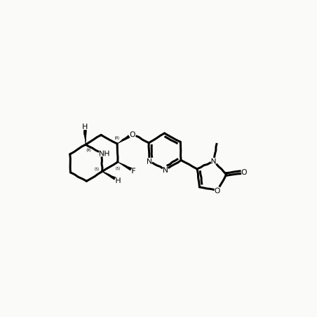 Cn1c(-c2ccc(O[C@@H]3C[C@H]4CCC[C@H](N4)[C@@H]3F)nn2)coc1=O